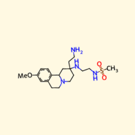 COc1ccc2c(c1)CCN1CCC(CCN)(NCCNS(C)(=O)=O)CC21